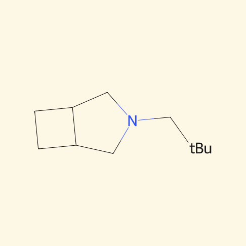 CC(C)(C)CN1CC2CCC2C1